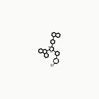 CCC1=CC=CC(c2cccc(-c3cc(-c4ccc(-c5cccc6ccccc56)cc4)nc(-c4cc5ccccc5c5ccccc45)n3)c2)=CC1